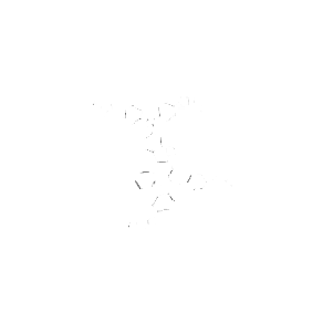 Cc1ccc(C(c2ccc(C)cc2)c2cc3oc4cc(N(c5ccc(C)cc5)c5ccc(C)cc5)ccc4c3c3ccccc23)cc1